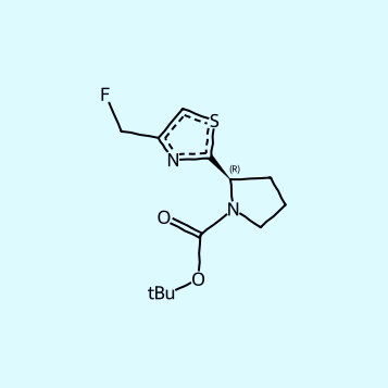 CC(C)(C)OC(=O)N1CCC[C@@H]1c1nc(CF)cs1